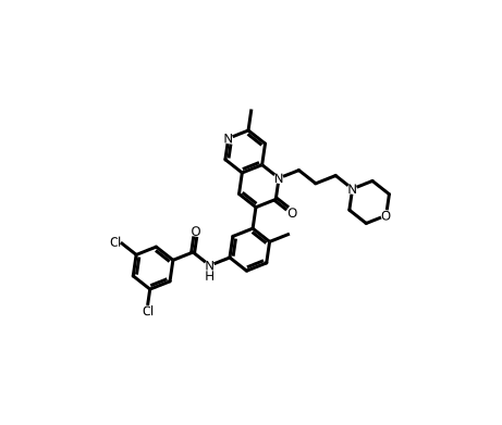 Cc1cc2c(cn1)cc(-c1cc(NC(=O)c3cc(Cl)cc(Cl)c3)ccc1C)c(=O)n2CCCN1CCOCC1